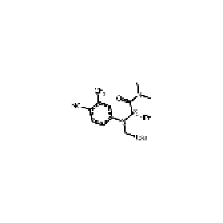 CC(C)[C@@H](C(=O)N(C)C)N(CC(C)(C)C)c1ccc(C#N)c(C(F)(F)F)c1